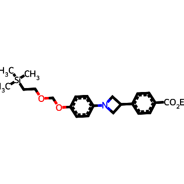 CCOC(=O)c1ccc(C2CN(c3ccc(OCOCC[Si](C)(C)C)cc3)C2)cc1